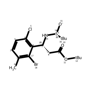 Cc1ccc(Cl)c([C@@H](CC(=O)OC(C)(C)C)N[S@@+]([O-])C(C)(C)C)c1Br